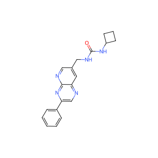 O=C(NCc1cnc2nc(-c3ccccc3)cnc2c1)NC1CCC1